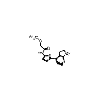 COCC(=O)Nc1ccc(-c2ccnc3c2CCN3)s1